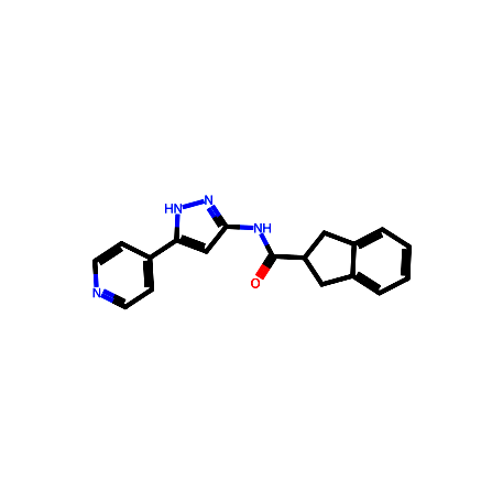 O=C(Nc1cc(-c2ccncc2)[nH]n1)C1Cc2ccccc2C1